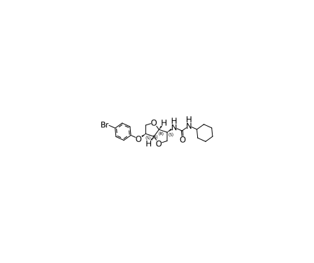 O=C(NC1CCCCC1)N[C@H]1CO[C@H]2[C@@H]1OC[C@@H]2Oc1ccc(Br)cc1